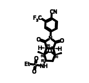 CCS(=O)(=O)N[C@H]1C[C@]2(C)O[C@@]1(C)[C@H]1C(=O)N(c3ccc(C#N)c(C(F)(F)F)c3)C(=O)[C@H]12